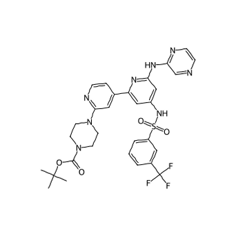 CC(C)(C)OC(=O)N1CCN(c2cc(-c3cc(NS(=O)(=O)c4cccc(C(F)(F)F)c4)cc(Nc4cnccn4)n3)ccn2)CC1